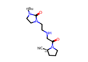 CCCCN1CCN(CCNCC(=O)N2CCC[C@H]2C#N)C1=O